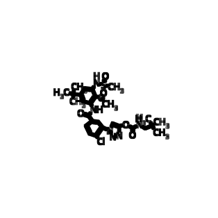 COc1c(NC(=O)c2ccc(Cl)c(-n3cc(OC(=O)NCC(C)(C)C)nn3)c2)cc(C(C)(C)C)cc1NS(C)(=O)=O